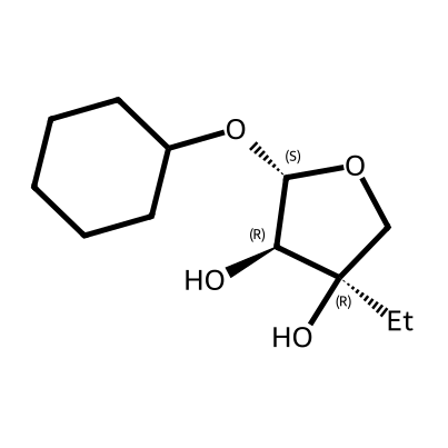 CC[C@@]1(O)CO[C@@H](OC2CCCCC2)[C@@H]1O